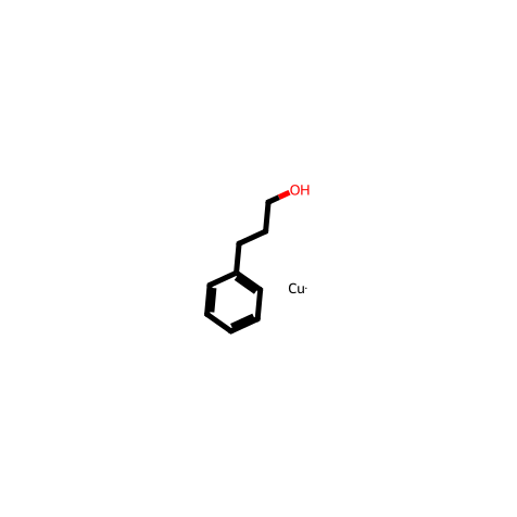 OCCCc1ccccc1.[Cu]